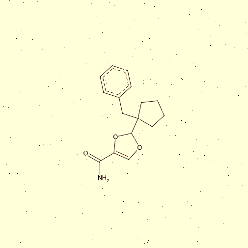 NC(=O)C1=COC(C2(Cc3ccccc3)CCCC2)O1